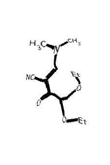 CCOC(OCC)C(=O)C(C#N)=CN(C)C